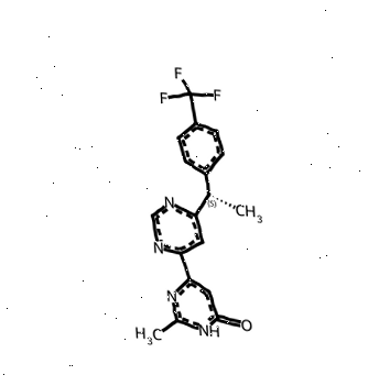 Cc1nc(-c2cc([C@@H](C)c3ccc(C(F)(F)F)cc3)ncn2)cc(=O)[nH]1